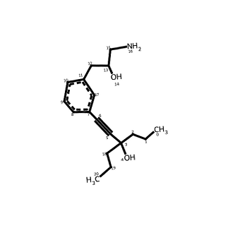 CCCC(O)(C#Cc1cccc(CC(O)CN)c1)CCC